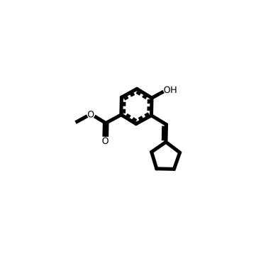 COC(=O)c1ccc(O)c(C=C2CCCC2)c1